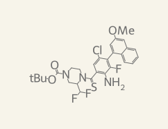 COc1cc(-c2c(Cl)cc(C(=S)N3CCN(C(=O)OC(C)(C)C)CC3C(F)F)c(N)c2F)c2ccccc2c1